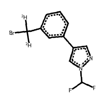 [2H]C([2H])(Br)c1cccc(-c2cnn(C(F)F)c2)c1